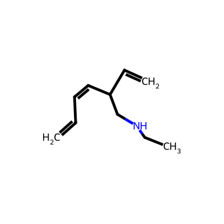 C=C/C=C\C(C=C)CNCC